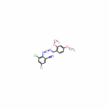 COc1ccc(CN=C=Nc2c(Cl)cc(Cl)cc2C#N)c(OC)c1